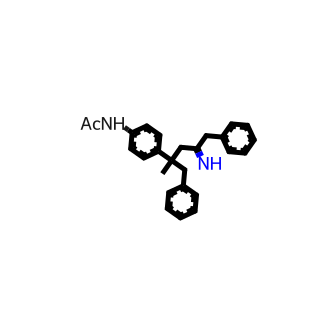 CC(=O)Nc1ccc(C(C)(CC(=N)Cc2ccccc2)Cc2ccccc2)cc1